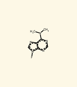 CN(C)c1ncnc2c1ncn2F